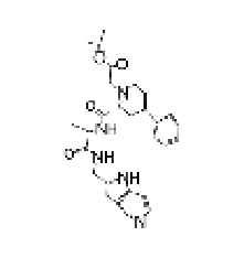 CC(NC(=O)[C@H]1C[C@@H](c2ccccc2)CCN1CC(=O)OC(C)(C)C)C(=O)NCc1cc2cnccc2[nH]1